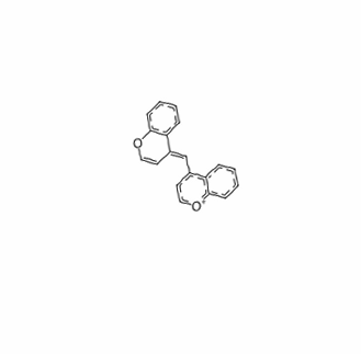 C1=CC(=Cc2cc[o+]c3ccccc23)c2ccccc2O1